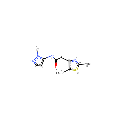 CCn1nccc1NC(=O)Cc1nc(C(C)(C)C)sc1C(=O)O